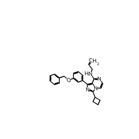 C=CCNc1nccn2c(C3CCC3)nc(-c3cccc(OCc4ccccc4)c3)c12